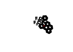 O=P(c1ccccc1C(F)(F)F)(c1ccccc1C(F)(F)F)c1ccc2ccc3cccc4ccc1c2c34